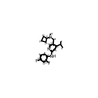 CC(C)c1cc(Nc2ccc(F)cc2F)ncc1CN(C)C1CCC1